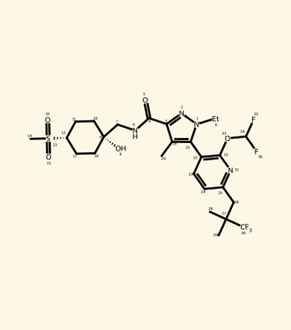 CCn1nc(C(=O)NC[C@]2(O)CC[C@@H](S(C)(=O)=O)CC2)c(C)c1-c1ccc(CC(C)(C)C(F)(F)F)nc1OC(F)F